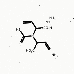 C=CC(C(=O)O)N(C(=S)S)C(C=C)C(=O)O.N.N.N